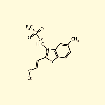 CCO/C=C/c1[te]c2ccc(C)cc2[n+]1C.O=S(=O)([O-])C(F)(F)F